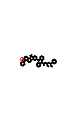 C=CC(=C\C(=C)c1c2ccccc2c(-c2ccc3c(c2)-c2ccc4c(ccc5oc6ccccc6c54)c2C3(C)C)c2ccccc12)/C=C(\C=C)c1ccccc1